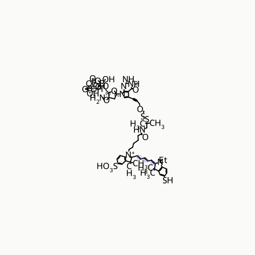 CCN1/C(=C/C=C/C=C/C2=[N+](CCCCCC(=O)NCC(C)(C)SSCOCC#Cc3cn([C@H]4CC(ON)[C@@H](COP(=O)(O)OP(=O)(O)OP(=O)(O)O)O4)c4nc(N)[nH]c(=O)c34)c3ccc(S(=O)(=O)O)cc3C2(C)C)C(C)(C)c2cc(S)ccc21